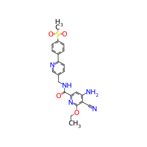 CCOc1nc(C(=O)NCc2ccc(-c3ccc(S(C)(=O)=O)cc3)nc2)cc(N)c1C#N